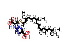 C/C(=C\CSC(C)(C)[C@H](Nc1ncc(C(=O)O)cn1)C(=O)O)CCCC(C)CCCC(C)CCCC(C)C